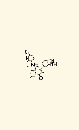 Cc1cc([C@@H](C)Nc2ccc(Cl)nc2C)c2oc(-c3ccc4cn[nH]c4c3)c(C)c(=O)c2c1